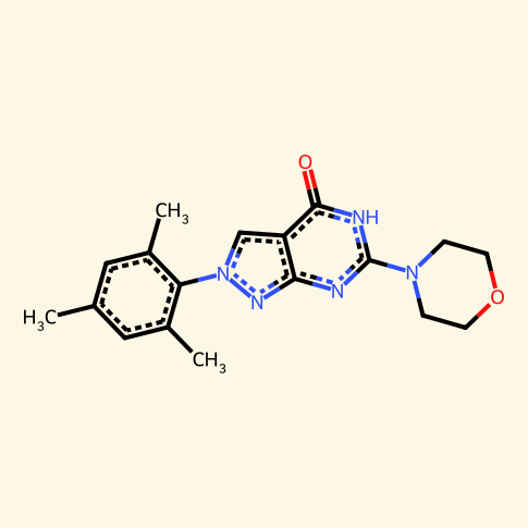 Cc1cc(C)c(-n2cc3c(=O)[nH]c(N4CCOCC4)nc3n2)c(C)c1